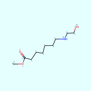 [2H]OC(=O)CCCCCCNCCO